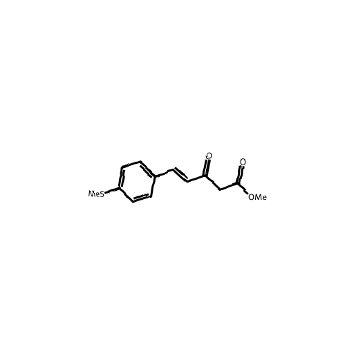 COC(=O)CC(=O)C=Cc1ccc(SC)cc1